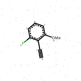 C#Cc1c(F)cccc1OC